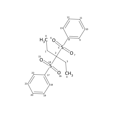 CCC(CC)(S(=O)(=O)c1ccccc1)S(=O)(=O)c1ccccc1